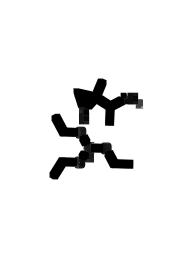 CC(N)C1(C)CN1.CCO[SiH](OCC)OCC